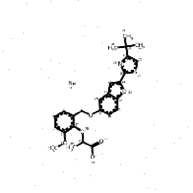 COc1cccc(COc2ccc3oc(-c4nc(C(C)(C)C)cs4)cc3c2)c1OC(C)C(=O)[O-].[Na+]